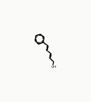 OCC=CC=Cc1ccccc1